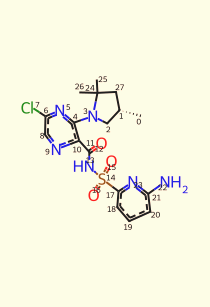 C[C@@H]1CN(c2nc(Cl)cnc2C(=O)NS(=O)(=O)c2cccc(N)n2)C(C)(C)C1